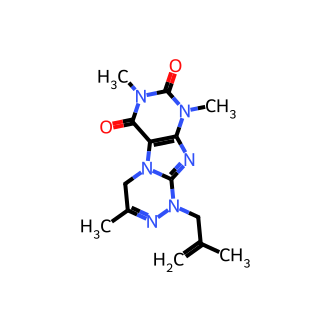 C=C(C)CN1N=C(C)Cn2c1nc1c2c(=O)n(C)c(=O)n1C